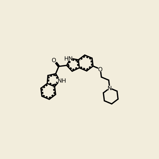 O=C(c1cc2ccccc2[nH]1)c1cc2cc(OCCN3CCCCC3)ccc2[nH]1